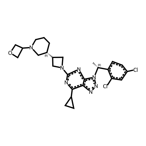 C[C@H](c1ccc(Cl)cc1Cl)n1nnc2c(C3CC3)nc(N3CC([C@H]4CCCN(C5COC5)C4)C3)nc21